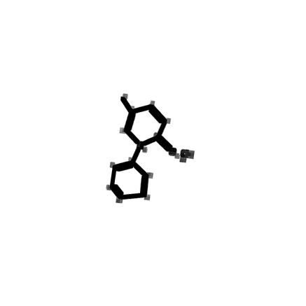 Cc1ccc(=O)n(-c2ccccc2)c1.Cl